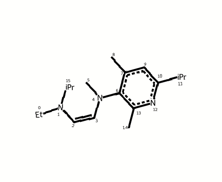 CCN(/C=C\N(C)c1c(C)cc(C(C)C)nc1C)C(C)C